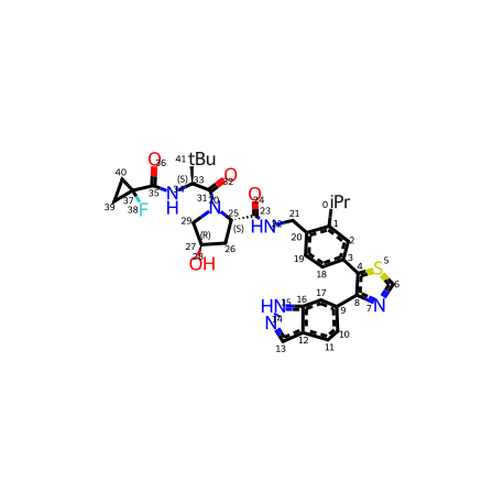 CC(C)c1cc(-c2scnc2-c2ccc3cn[nH]c3c2)ccc1CNC(=O)[C@@H]1C[C@@H](O)CN1C(=O)[C@@H](NC(=O)C1(F)CC1)C(C)(C)C